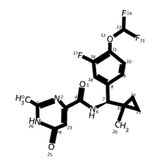 Cc1nc(C(=O)N[C@@H](c2ccc(OC(F)F)c(F)c2)C2(C)CC2)cc(=O)[nH]1